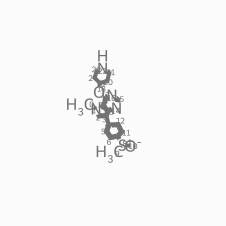 Cn1cc(-c2ccc([S+](C)[O-])cc2)c2ncnc(OC3CCNCC3)c21